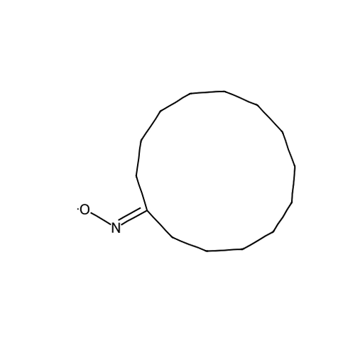 [O]N=C1CCCCCCCCCCCCC1